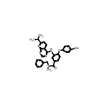 CC(C)c1ccc2c(Nc3cc(C(=O)N(C)Cc4ccccc4)ccc3Oc3ccc(O)cc3)ncnc2n1